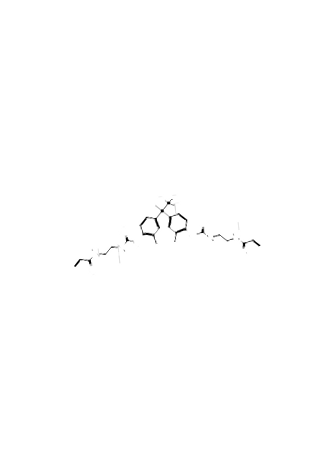 C=CC(=O)NCCNC(=O)Oc1ccc(C(C)(c2ccc(OC(=O)NCCNC(=O)C=C)c(C)c2)C(F)(F)F)cc1C